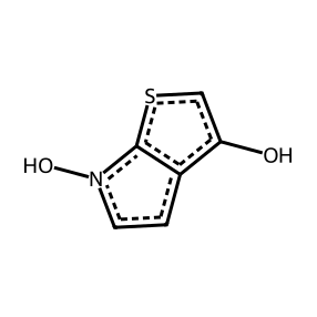 Oc1csc2c1ccn2O